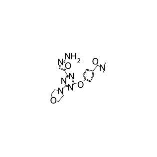 CN(C)C(=O)c1ccc(Oc2nc(-c3cnc(N)o3)nc(N3CCOCC3)n2)cc1